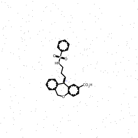 O=C(O)c1ccc2c(c1)/C(=C/CCNS(=O)(=O)c1ccccc1)c1ccccc1CO2